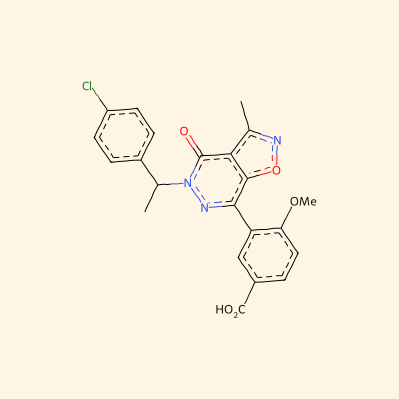 COc1ccc(C(=O)O)cc1-c1nn(C(C)c2ccc(Cl)cc2)c(=O)c2c(C)noc12